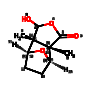 C[C@@]12C(O)OC(=O)[C@]1(C)[C@H]1CC[C@@H]2O1